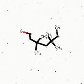 CC(C)(CC#N)CC(C)(C)CCBr